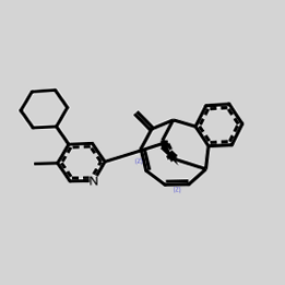 C=C1/C=C\C=C/C2c3ccccc3C1c1cc(-c3cc(C4CCCCC4)c(C)cn3)ccc12